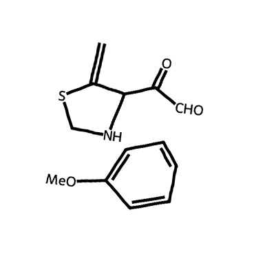 C=C1SCNC1C(=O)C=O.COc1ccccc1